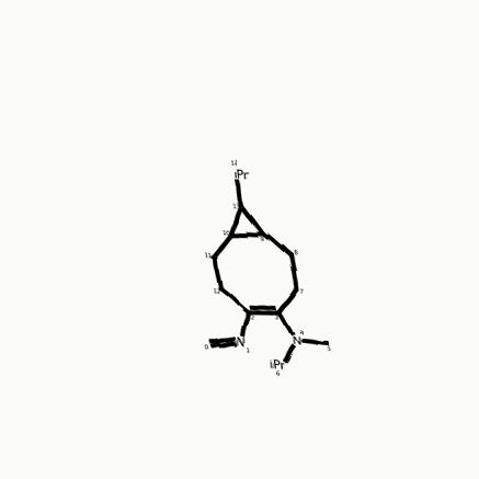 C=N/C1=C(\N(C)C(C)C)CCC2C(CC1)C2C(C)C